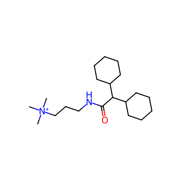 C[N+](C)(C)CCCNC(=O)C(C1CCCCC1)C1CCCCC1